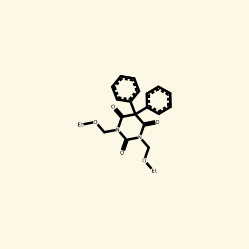 CCOCN1C(=O)N(COCC)C(=O)C(c2ccccc2)(c2ccccc2)C1=O